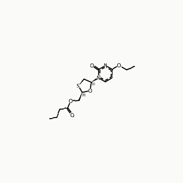 CCCC(=O)OC[C@@H]1O[C@H](n2ccc(OCC)nc2=O)CS1